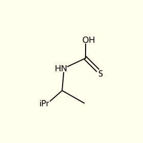 CC(C)C(C)NC(O)=S